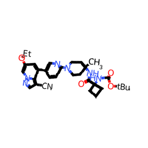 CCOc1cc(-c2ccc(N3CCC(C)(NC(=O)C4(NC(=O)OC(C)(C)C)CCC4)CC3)nc2)c2c(C#N)cnn2c1